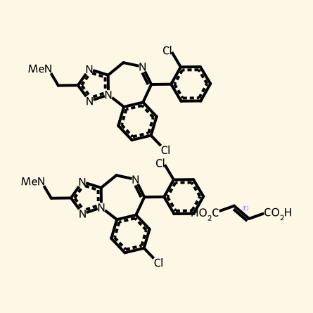 CNCc1nc2n(n1)-c1ccc(Cl)cc1C(c1ccccc1Cl)=NC2.CNCc1nc2n(n1)-c1ccc(Cl)cc1C(c1ccccc1Cl)=NC2.O=C(O)/C=C/C(=O)O